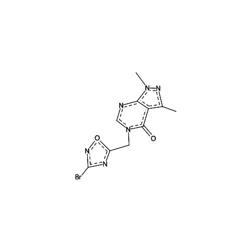 Cc1nn(C)c2ncn(Cc3nc(Br)no3)c(=O)c12